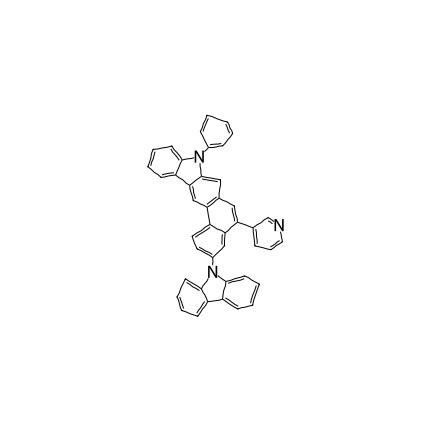 c1ccc(-n2c3ccccc3c3cc4c(cc(-c5cccnc5)c5cc(-n6c7ccccc7c7ccccc76)ccc54)cc32)cc1